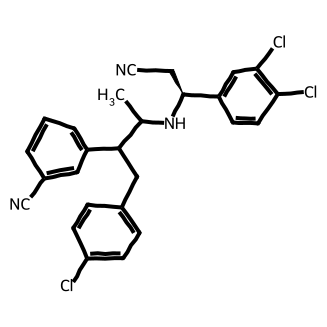 CC(N[C@@H](CC#N)c1ccc(Cl)c(Cl)c1)C(Cc1ccc(Cl)cc1)c1cccc(C#N)c1